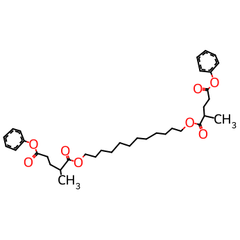 CC(CCC(=O)Oc1ccccc1)C(=O)OCCCCCCCCCCCCOC(=O)C(C)CCC(=O)Oc1ccccc1